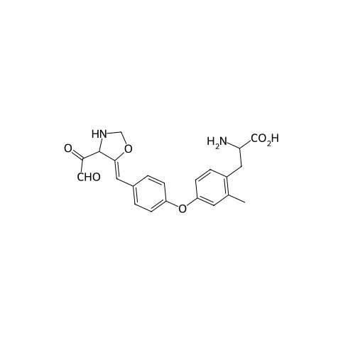 Cc1cc(Oc2ccc(C=C3OCNC3C(=O)C=O)cc2)ccc1CC(N)C(=O)O